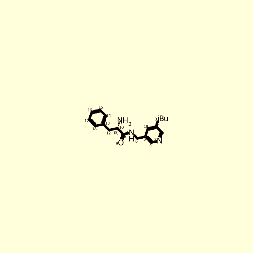 CCC(C)c1cncc(CNC(=O)[C@@H](N)Cc2ccccc2)c1